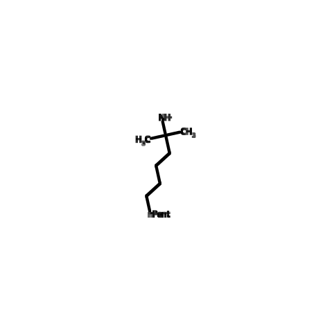 CCCCCCCCCC(C)(C)[NH]